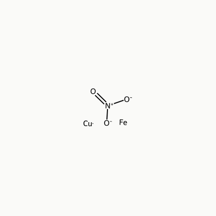 O=[N+]([O-])[O-].[Cu].[Fe]